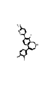 Nc1ccc(-c2ccc3c(c2F)CNCC=C3c2ccc(F)c(F)c2)nn1